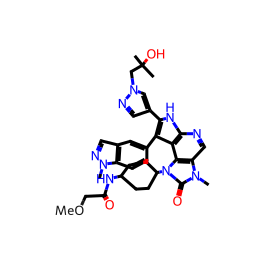 COCC(=O)NC1CCC(n2c(=O)n(C)c3cnc4[nH]c(-c5cnn(CC(C)(C)O)c5)c(-c5ccc6c(cnn6C)c5)c4c32)CC1